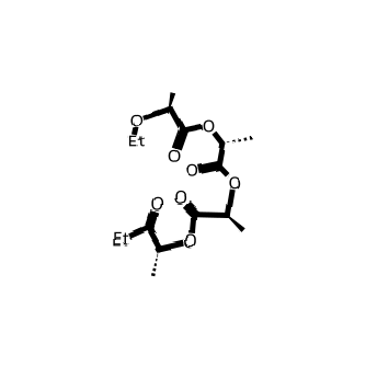 CCO[C@@H](C)C(=O)O[C@H](C)C(=O)O[C@@H](C)C(=O)O[C@H](C)C(=O)CC